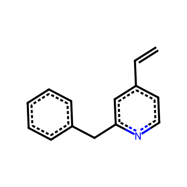 C=Cc1ccnc(Cc2ccccc2)c1